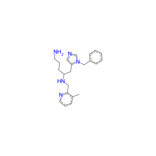 Cc1cccnc1CNC(CCCN)Cc1cncn1Cc1ccccc1